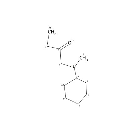 CCC(=O)CC(C)C1CCCCC1